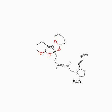 CCCCCCC=C[C@H]1CC[C@H](OC(C)=O)[C@@H]1CC(C)=C=C(C)CCC(OC(C)=O)(OC1CCCCO1)OC1CCCCO1